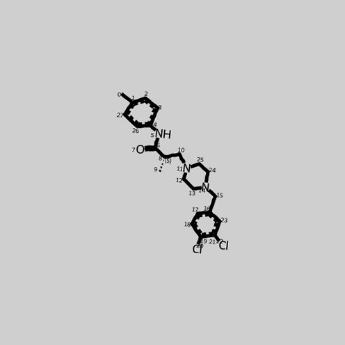 Cc1ccc(NC(=O)[C@@H](C)CN2CCN(Cc3ccc(Cl)c(Cl)c3)CC2)cc1